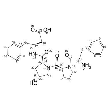 N[C@@H](Cc1ccccc1)C(=O)N1CCC[C@H]1C(=O)N1C[C@H](O)C[C@H]1C(=O)N[C@H](CC(=O)O)Cc1ccccc1